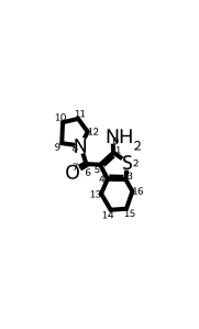 Nc1sc2c(c1C(=O)N1CCCC1)CCCC2